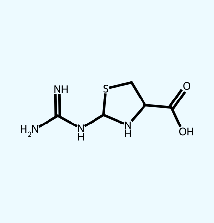 N=C(N)NC1NC(C(=O)O)CS1